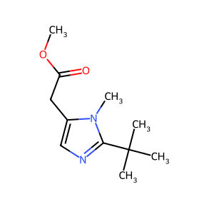 COC(=O)Cc1cnc(C(C)(C)C)n1C